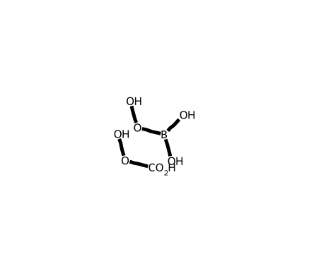 O=C(O)OO.OOB(O)O